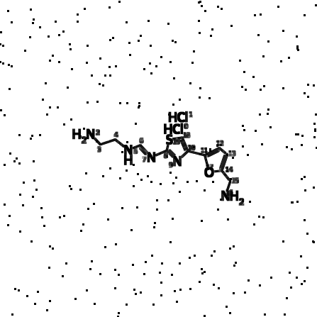 Cl.Cl.NCCNC=Nc1nc(-c2ccc(CN)o2)cs1